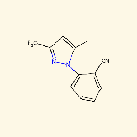 Cc1cc(C(F)(F)F)nn1-c1ccccc1C#N